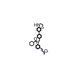 C=C(/C=C/c1cccc(N(Cc2ccc(-c3ccc4c(c3)SCCN4)cc2)C(=O)C2CCCCC2)c1)OC